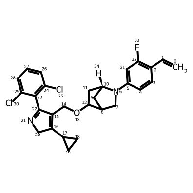 C=Cc1ccc(N2CC3C[C@@H]2CC3OCC2=C(C3CC3)CN=C2c2c(Cl)cccc2Cl)cc1F